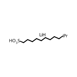 CC(C)CCCCCCCCCS(=O)(=O)O.[LiH]